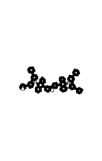 C1=CC2=C(n3c4ccc(-c5ccccc5)cc4c4cc(-c5ccccc5)ccc43)c3ccccc3C(c3ccc4oc5cc(-c6c7ccccc7c(-n7c8ccc(-c9ccccc9)cc8c8cc(-c9ccccc9)ccc87)c7ccccc67)ccc5c4c3)C2C=C1